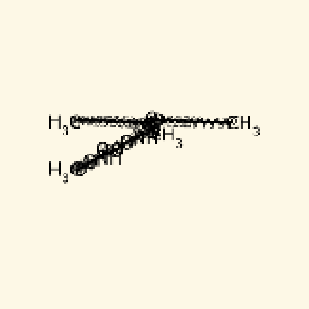 CCCCCCCCCCCCCCCCCCOP(=O)(CN(C)CCC(=O)NCCOCCOCCC(=O)NCCOCCOC)OCCCCCCCCCCCCCCCCCC